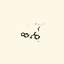 CC(=O)O.NCCCn1cc(-c2nc3cc4c(cc3[nH]c2=O)CCC4)c2cc3c(cc21)OCO3